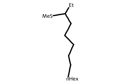 [CH2]CC(CCCCCCCCCCC)SC